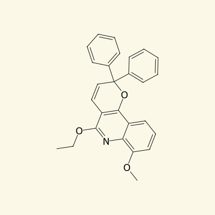 CCOc1nc2c(OC)cccc2c2c1C=CC(c1ccccc1)(c1ccccc1)O2